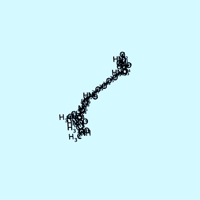 Cc1cc(C)c(CNC(=O)c2cc(-c3ccc(N4CCN(CCNC(=O)CCOCCOCCOCCOCCNc5cccc6c5C(=O)N(C5CCC(=O)NC5=O)C6=O)CC4)nc3)cc(NC(C)C)c2C=N)c(=O)[nH]1